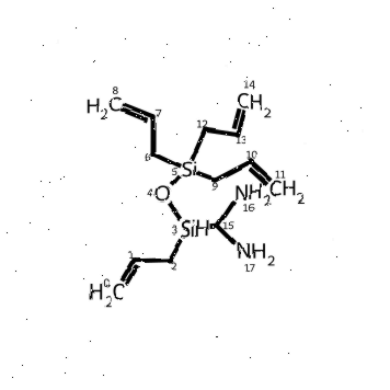 C=CC[SiH](O[Si](CC=C)(CC=C)CC=C)C(N)N